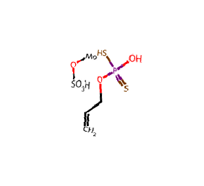 C=CCOP(O)(=S)S.O=S(=O)(O)[O][Mo]